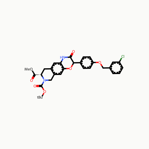 COC(=O)[C@@H]1Cc2cc3c(cc2CN1C(=O)OC(C)(C)C)OC(c1ccc(OCc2cccc(Cl)c2)cc1)C(=O)N3